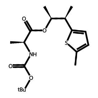 Cc1ccc([C@H](C)[C@H](C)OC(=O)[C@H](C)NC(=O)OC(C)(C)C)s1